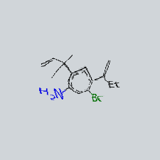 C=CC(C)(C)c1cc(C(=C)CC)c(Br)cc1N